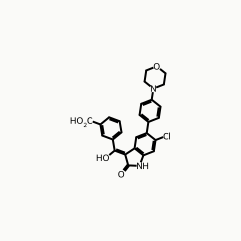 O=C1Nc2cc(Cl)c(-c3ccc(N4CCOCC4)cc3)cc2C1=C(O)c1cccc(C(=O)O)c1